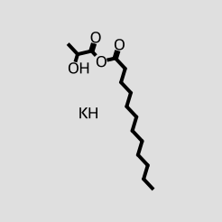 CCCCCCCCCCCC(=O)OC(=O)C(C)O.[KH]